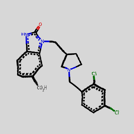 O=C(O)c1ccc2[nH]c(=O)n(CC3CCN(Cc4ccc(Cl)cc4Cl)C3)c2c1